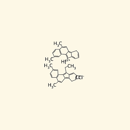 CCC1=c2c(cc(C)c3ccc(C)cc23)=C2CC=CC=C21.Cc1ccc2c(C)cc3c(c2c1)=[C]([Hf+2])C1=CC=CCC=31.[Cl-].[Cl-]